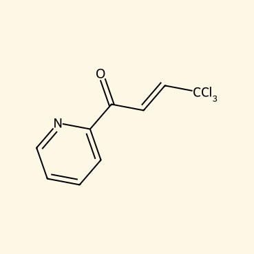 O=C(/C=C/C(Cl)(Cl)Cl)c1ccccn1